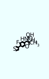 CC1(C)COc2cc(-c3ccsc3)c(F)cc2C1NC(=O)O